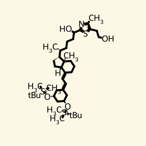 Cc1nc(C(O)CCC[C@@H](C)[C@H]2CC[C@H]3/C(=C/C=C4C[C@@H](O[Si](C)(C)C(C)(C)C)C[C@H](O[Si](C)(C)C(C)(C)C)C4)CCC[C@]23C)sc1CCO